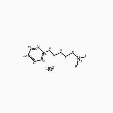 Br.CN(C)CCCCCc1ccccc1